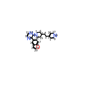 c1cc(CCC2CCN(c3nccnc3-c3ccc4occc4c3)CC2)ccn1